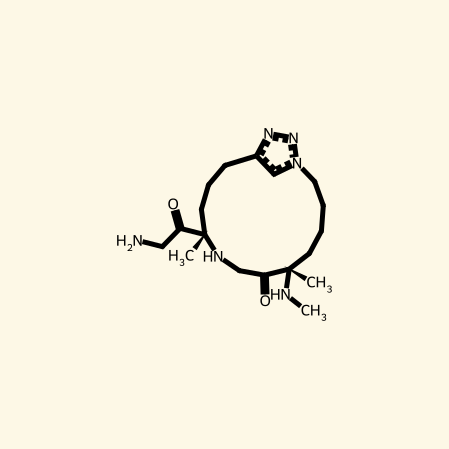 CN[C@@]1(C)CCCCn2cc(nn2)CCC[C@@](C)(C(=O)CN)NCC1=O